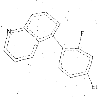 CCc1ccc(-c2cccc3ncccc23)c(F)c1